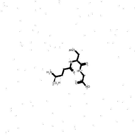 CSCC(NC(=O)CC[C@H](N)C(=O)O)C(=O)NCC(=O)N=O